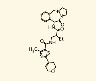 CCC(CNC(=O)c1sc(C2=CCOCC2)nc1C)C(=O)N[C@@H]1C(=O)N2CCCN2Cc2ccccc21